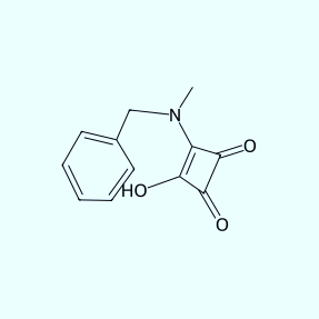 CN(Cc1ccccc1)c1c(O)c(=O)c1=O